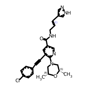 C[C@@H]1CN(c2ncc(C(=O)NC/C=C/c3cn[nH]c3)cc2C#Cc2ccc(Cl)cc2)C[C@H](C)O1